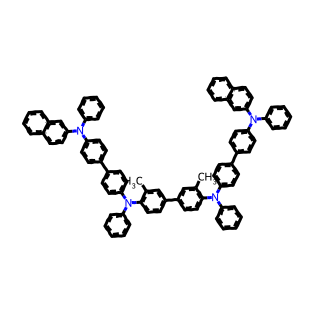 Cc1cc(-c2ccc(N(c3ccccc3)c3ccc(-c4ccc(N(c5ccccc5)c5ccc6ccccc6c5)cc4)cc3)c(C)c2)ccc1N(c1ccccc1)c1ccc(-c2ccc(N(c3ccccc3)c3ccc4ccccc4c3)cc2)cc1